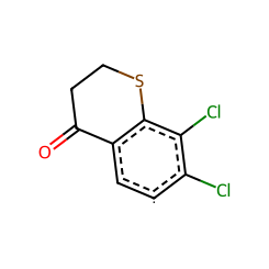 O=C1CCSc2c1c[c]c(Cl)c2Cl